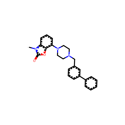 [CH2]n1c(=O)oc2c(N3CCN(Cc4cccc(-c5ccccc5)c4)CC3)cccc21